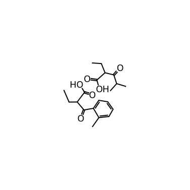 CCC(C(=O)O)C(=O)C(C)C.CCC(C(=O)O)C(=O)c1ccccc1C